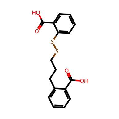 O=C(O)c1ccccc1CCCSSc1ccccc1C(=O)O